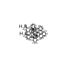 Bc1cc(B)c(-c2nc(N3B(c4ccccc4)c4ccc5ccccc5c4-c4c3c3sc5ccccc5c3c3ccccc43)nc3ccccc23)c(B)c1